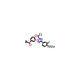 CCC(Oc1ccc(C(=O)C2CC2)cc1)c1nc(-c2ccc(NC)c(F)c2)no1